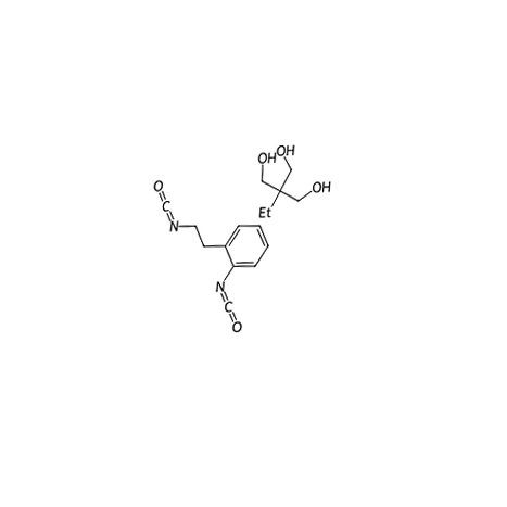 CCC(CO)(CO)CO.O=C=NCCc1ccccc1N=C=O